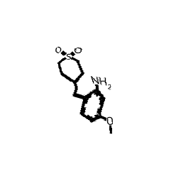 COc1ccc(CC2CCS(=O)(=O)CC2)c(N)c1